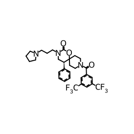 O=C1OC2(CCN(C(=O)c3cc(C(F)(F)F)cc(C(F)(F)F)c3)CC2)[C@@H](c2ccccc2)CN1CCCN1CCCC1